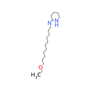 CCOCCCCCCCCCCC/N=C1/CCCCN1